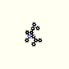 C1=CCC(C2=CC(C3C=NC(c4ccc5c(c4)C4=CC6C(CC4S5)C4CC=CCC4N6C4C=CC=CC4)=C(C4N=C(C5C=CC=CC5)N=C(c5ccccc5)N4)C3)=CC(C3CC=CCC3)C2)C=C1